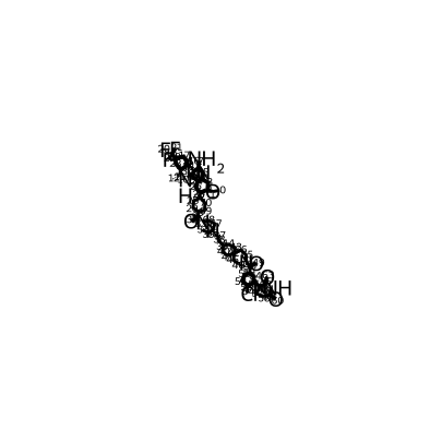 COc1cc2nc(C)nc(N[C@H](C)c3cc(N)cc(C(F)(F)F)c3)c2cc1C1CCC(C(=O)N2CCN(CCC3CCC4(CC3)CCN(C(=O)c3ccc(Cl)c(N5CCC(=O)NC5=O)c3)CC4)CC2)CC1